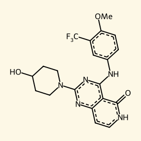 COc1ccc(Nc2nc(N3CCC(O)CC3)nc3cc[nH]c(=O)c23)cc1C(F)(F)F